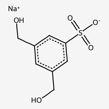 O=S(=O)([O-])c1cc(CO)cc(CO)c1.[Na+]